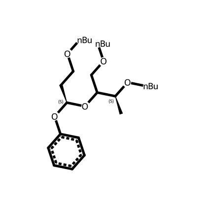 CCCCOCC[C@H](Oc1ccccc1)OC(COCCCC)[C@H](C)OCCCC